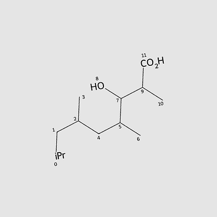 CC(C)CC(C)CC(C)C(O)C(C)C(=O)O